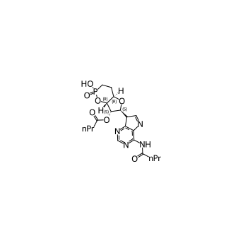 CCCC(=O)Nc1ncnc2c1N=CC2[C@@H]1O[C@@H]2CCP(=O)(O)O[C@H]2[C@H]1OC(=O)CCC